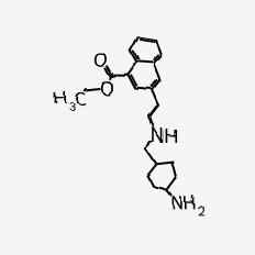 CCOC(=O)c1cc(CCNCC2CCC(N)CC2)cc2ccccc12